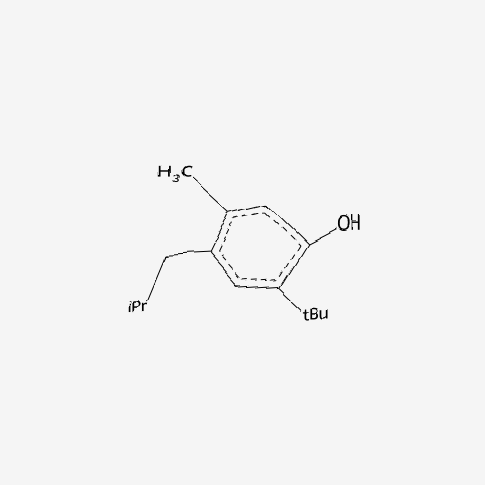 Cc1cc(O)c(C(C)(C)C)cc1CC(C)C